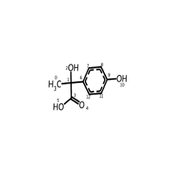 CC(O)(C(=O)O)c1ccc(O)cc1